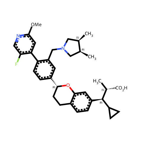 COc1cc(-c2ccc([C@H]3CCc4ccc([C@H](C5CC5)[C@H](C)C(=O)O)cc4O3)cc2CN2C[C@@H](C)[C@@H](C)C2)c(F)cn1